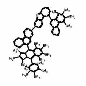 BC1=C(B)C2C(=C1B)C(c1cc3cc(-c4ccc5c(c4)oc4cccc(-c6cc7ccccc7c7c(B)c(B)c(B)c(B)c67)c45)ccc3c3ccccc13)=c1c(B)c(B)c(B)c(B)c1=C2c1c(B)c(B)c(B)c(B)c1B